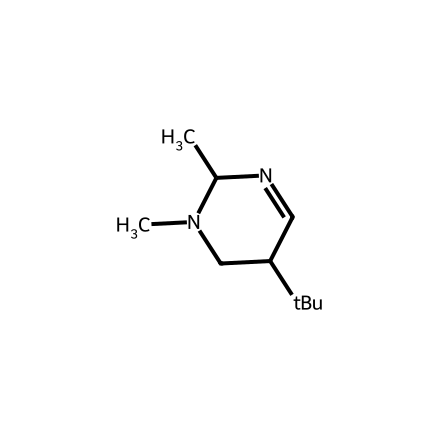 CC1N=CC(C(C)(C)C)CN1C